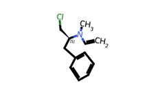 C=CN(C)[C@H](CCl)Cc1ccccc1